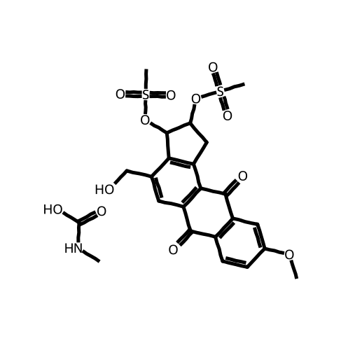 CNC(=O)O.COc1ccc2c(c1)C(=O)c1c(cc(CO)c3c1CC(OS(C)(=O)=O)C3OS(C)(=O)=O)C2=O